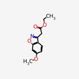 CCOC(=O)Cc1noc2cc(OC)ccc12